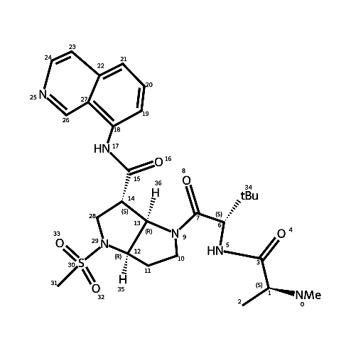 CN[C@@H](C)C(=O)N[C@H](C(=O)N1CC[C@@H]2[C@H]1[C@@H](C(=O)Nc1cccc3ccncc13)CN2S(C)(=O)=O)C(C)(C)C